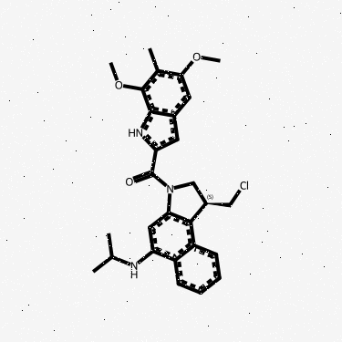 COc1cc2cc(C(=O)N3C[C@@H](CCl)c4c3cc(NC(C)C)c3ccccc43)[nH]c2c(OC)c1C